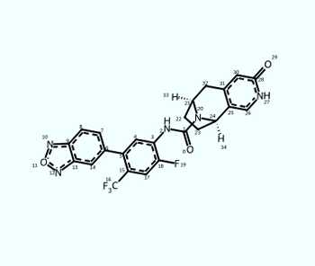 O=C(Nc1cc(-c2ccc3nonc3c2)c(C(F)(F)F)cc1F)N1[C@H]2CC[C@@H]1c1c[nH]c(=O)cc1C2